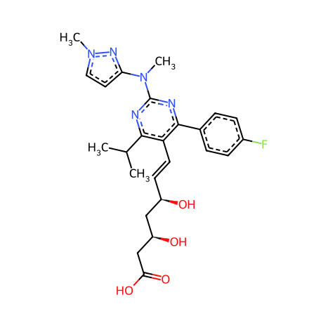 CC(C)c1nc(N(C)c2ccn(C)n2)nc(-c2ccc(F)cc2)c1/C=C/[C@@H](O)C[C@@H](O)CC(=O)O